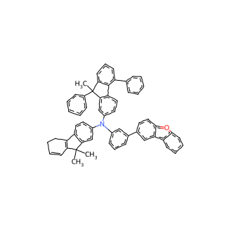 CC1(C)C2=C(CCC=C2)c2ccc(N(c3cccc(-c4ccc5oc6ccccc6c5c4)c3)c3ccc4c(c3)C(C)(c3ccccc3)c3cccc(-c5ccccc5)c3-4)cc21